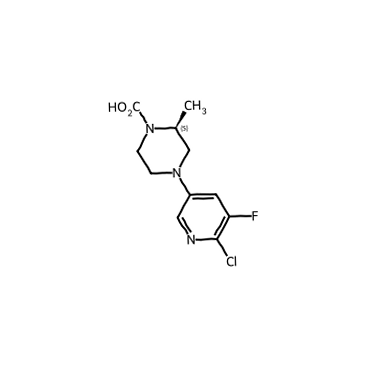 C[C@H]1CN(c2cnc(Cl)c(F)c2)CCN1C(=O)O